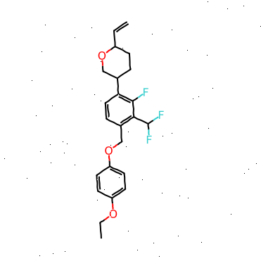 C=CC1CCC(c2ccc(COc3ccc(OCC)cc3)c(C(F)F)c2F)CO1